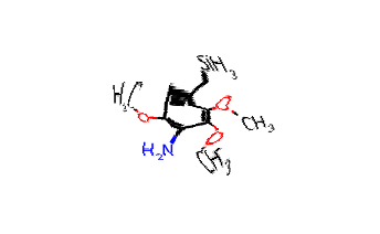 COc1cc([SiH3])c(OC)c(OC)c1N